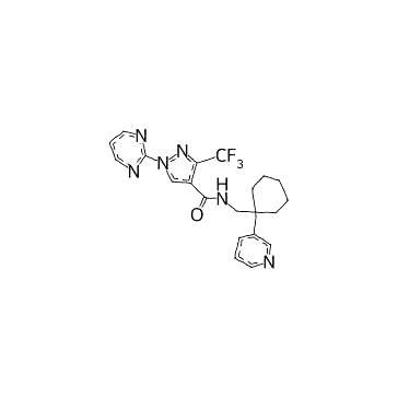 O=C(NCC1(c2cccnc2)CCCCC1)c1cn(-c2ncccn2)nc1C(F)(F)F